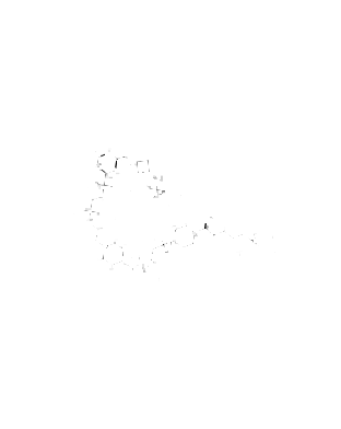 CC(C)(C)CCCCC(=O)N1CCN(C(C)(C)CCC(C)(C)NC2CCN(CCOC(C)(C)CCC(C)(C)c3cc(O[C@H]4C[C@@H](NC(C)(C)C)C4)ccn3)CC2)CC1